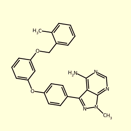 Cc1ccccc1COc1cccc(Oc2ccc(-c3nn(C)c4ncnc(N)c34)cc2)c1